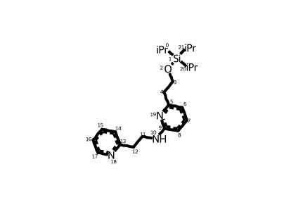 CC(C)[Si](OCCc1cccc(NCCc2ccccn2)n1)(C(C)C)C(C)C